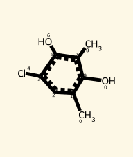 Cc1cc(Cl)c(O)c(C)c1O